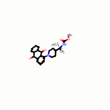 CC(C)(C)OC(=O)N[C@](C)(C(=O)O)C1CCN(c2cccc3c2C(=O)c2ccccc2C3=O)CC1